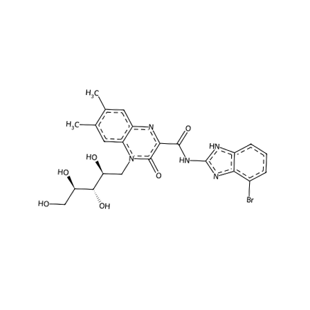 Cc1cc2nc(C(=O)Nc3nc4c(Br)cccc4[nH]3)c(=O)n(C[C@H](O)[C@H](O)[C@H](O)CO)c2cc1C